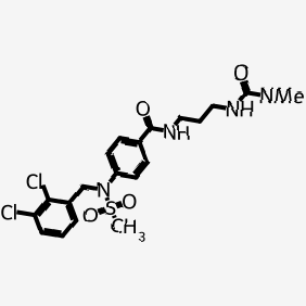 CNC(=O)NCCCNC(=O)c1ccc(N(Cc2cccc(Cl)c2Cl)S(C)(=O)=O)cc1